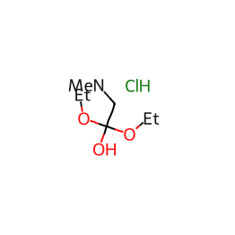 CCOC(O)(CNC)OCC.Cl